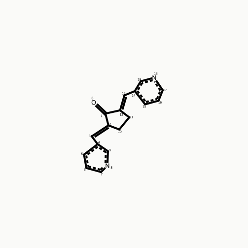 O=C1C(=Cc2cccnc2)CCC1=Cc1cccnc1